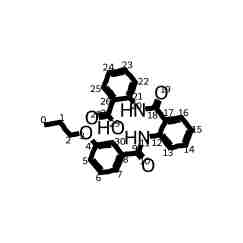 CCCOc1cccc(C(=O)Nc2ccccc2C(=O)Nc2ccccc2C(=O)O)c1